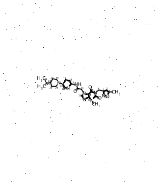 Cc1cc(Cn2c(=O)c3c(ncn3CC(=O)Nc3ccc(N4CCC(C(C)C)CC4)cn3)n(C)c2=O)no1